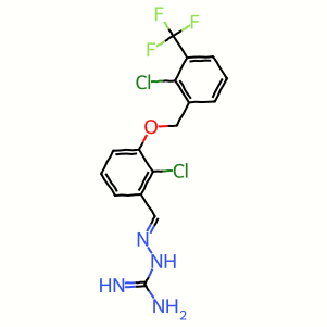 N=C(N)N/N=C/c1cccc(OCc2cccc(C(F)(F)F)c2Cl)c1Cl